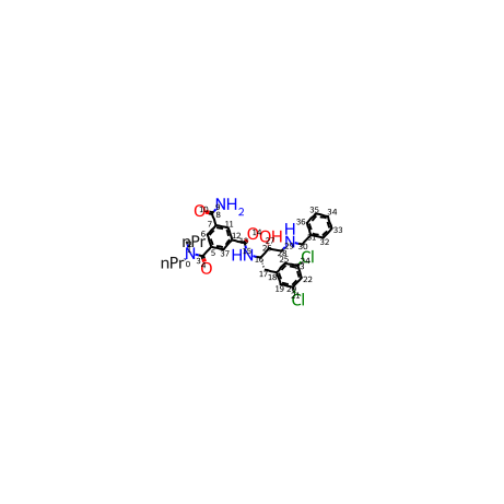 CCCN(CCC)C(=O)c1cc(C(N)=O)cc(C(=O)N[C@@H](Cc2cc(Cl)cc(Cl)c2)[C@H](O)CNCc2ccccc2)c1